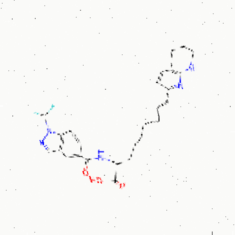 O=C(NC(CCCCCCCc1ccc2c(n1)NCCC2)C(=O)O)c1ccc2c(cnn2C(F)F)c1